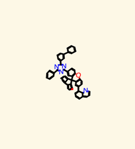 c1ccc(-c2cccc(-c3nc(-c4ccccc4)nc(-c4ccc5c(c4)C4(c6cc(-c7cccc8cccnc78)ccc6O5)c5ccccc5-c5ccccc54)n3)c2)cc1